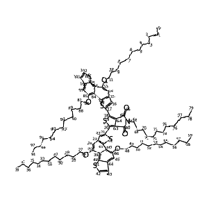 CCCCCCCCCCCCOc1cc2cc(-c3sc(-c4cc5cc(OCCCCCCCCCCCC)c6c7sccc7cc(OCCCCCCCCCCCC)c6c5s4)c4c3C(=O)N(CCCCCCCCCCCC)C4=O)sc2c2c(OCCCCCCCCCCCC)cc3ccsc3c12